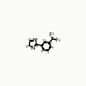 FC(F)c1cccc(C2=NCC=N2)c1